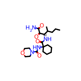 CCCC(C)[C@H](NC(=O)C1(NC(=O)N2CCOCC2)CCCCC1)C(=O)C(N)=O